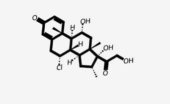 C[C@@H]1C[C@H]2[C@H]3[C@H]([C@H](O)C[C@]2(C)[C@@]1(O)C(=O)CO)[C@@]1(C)C=CC(=O)C=C1C[C@H]3Cl